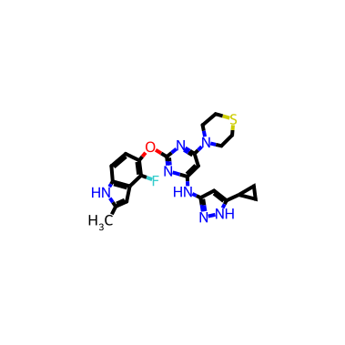 Cc1cc2c(F)c(Oc3nc(Nc4cc(C5CC5)[nH]n4)cc(N4CCSCC4)n3)ccc2[nH]1